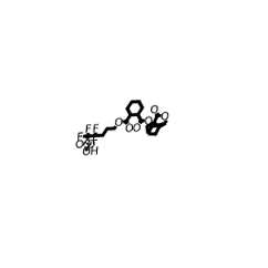 O=C(OCCCC(F)(F)C(F)(F)S(=O)(=O)O)C1CCCCC1C(=O)OC1C2CC3C(=O)OC1C3C2